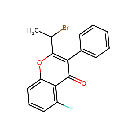 CC(Br)c1oc2cccc(F)c2c(=O)c1-c1ccccc1